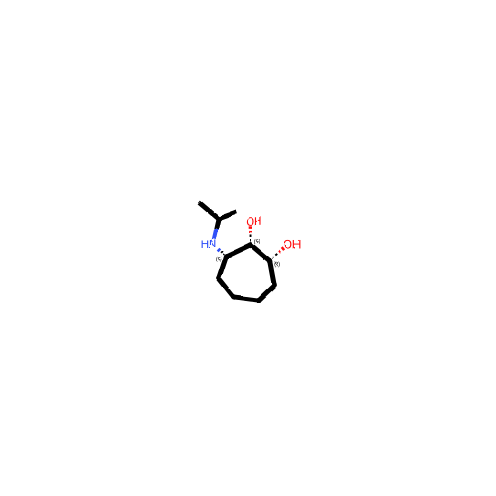 CC(C)N[C@H]1CCCC[C@@H](O)[C@H]1O